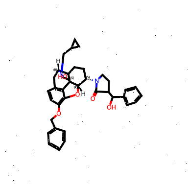 O=C1C(C(O)c2ccccc2)CCN1[C@H]1CCC2(O)[C@H]3Cc4ccc(OCc5ccccc5)c5c4[C@@]2(CCN3CC2CC2)[C@H]1O5